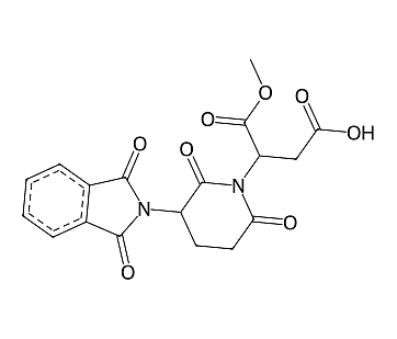 COC(=O)C(CC(=O)O)N1C(=O)CCC(N2C(=O)c3ccccc3C2=O)C1=O